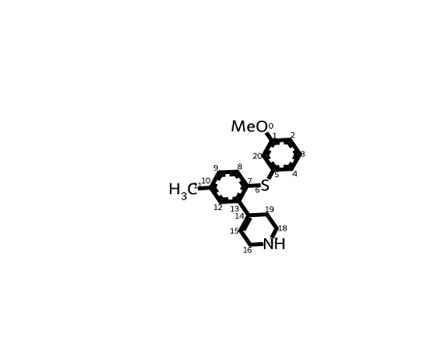 COc1cccc(Sc2ccc(C)cc2C2=CCNCC2)c1